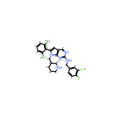 Fc1ccc(CNc2ncc3cc(-c4c(Cl)cccc4Cl)n(CC4CCCNC4)c3n2)cc1F